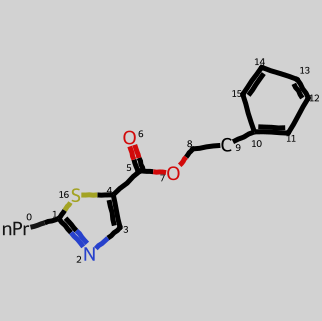 CCCc1ncc(C(=O)OCCc2ccccc2)s1